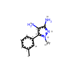 Cc1cccc(-c2c(N)c(N)nn2C(C)C)c1